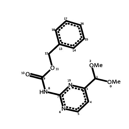 COC(OC)c1ccnc(NC(=O)OCc2ccccc2)n1